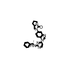 C[C@H](Nc1nccc(-n2cnc3cc(N4CC5CCCN5C4=O)ccc32)n1)c1ccccc1